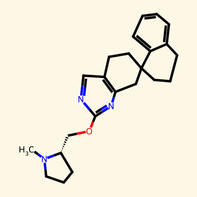 CN1CCC[C@H]1COc1ncc2c(n1)CC1(CCCc3ccccc31)CC2